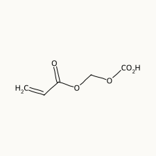 C=CC(=O)OCOC(=O)O